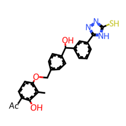 CC(=O)c1ccc(OCc2ccc(C(O)c3cccc(-c4nnc(S)[nH]4)c3)cc2)c(C)c1O